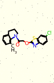 Cc1cccc2c1N(C(=O)COc1nc3ccc(Cl)cc3s1)CCC2